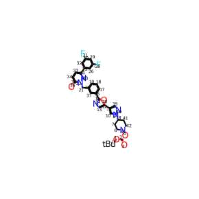 CC(C)(C)OC(=O)ON1CCC(n2cc(-c3cnc(-c4cccc(Cn5nc(-c6cc(F)cc(F)c6)ccc5=O)c4)o3)cn2)CC1